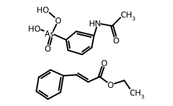 CC(=O)Nc1cccc([As](=O)(O)OO)c1.CCOC(=O)C=Cc1ccccc1